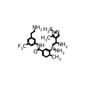 Cc1c(/C(N)=C/N(N)C2=CC(C(=O)Nc3cc(CCN)cc(C(F)(F)F)c3)=CCC2C)cnn1C